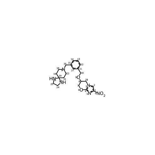 O=[N+]([O-])c1cn2c(n1)OCC(OCc1cccc(CN3CCC4(CC3)NCCN4)c1)C2